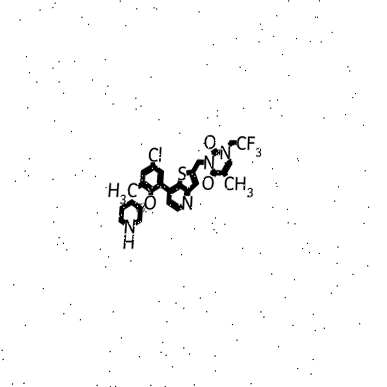 Cc1cc(Cl)cc(-c2ccnc3cc(Cn4c(=O)c(C)cn(CC(F)(F)F)c4=O)sc23)c1O[C@H]1CCCNC1